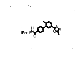 CCCC(C)NC(=O)c1ccc(-c2cc(-c3nnc(C)o3)ccc2C)cc1